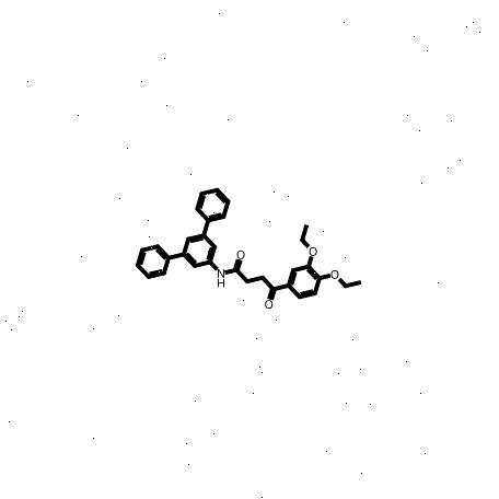 CCOc1ccc(C(=O)CCC(=O)Nc2cc(-c3ccccc3)cc(-c3ccccc3)c2)cc1OCC